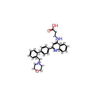 O=C(O)CCNc1cc(-c2ccc(-c3ccccc3CN3CCOCC3)cc2)nc2ccccc12